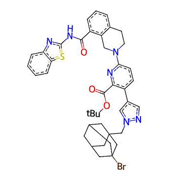 CC(C)(C)OC(=O)c1nc(N2CCc3cccc(C(=O)Nc4nc5ccccc5s4)c3C2)ccc1-c1cnn(CC23CC4CC(CC(Br)(C4)C2)C3)c1